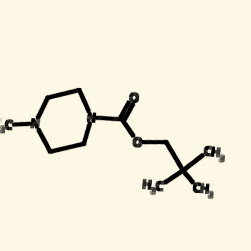 CN1CCN(C(=O)OCC(C)(C)C)CC1